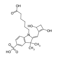 CC1(C)C(=CC2=C(O)CC2O)N(CCCCCC(=O)O)c2ccc(S(=O)(=O)O)cc21